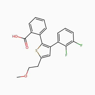 COCCc1cc(-c2cccc(F)c2F)c(-c2ccccc2C(=O)O)s1